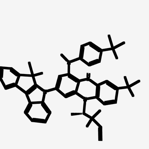 C=CC(C)(C)[C@H](C)N1c2ccc(C(C)(C)C)cc2Bc2c(N(C)c3ccc(C(C)(C)C)cc3)cc(-n3c4c(c5ccccc53)-c3ccccc3C4(C)C)cc21